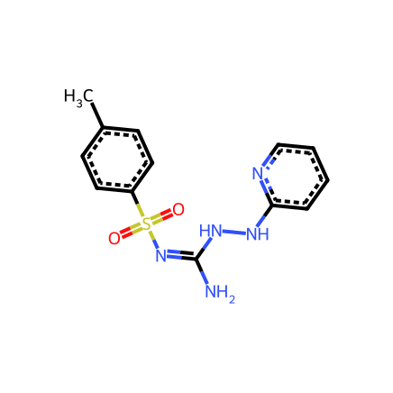 Cc1ccc(S(=O)(=O)N=C(N)NNc2ccccn2)cc1